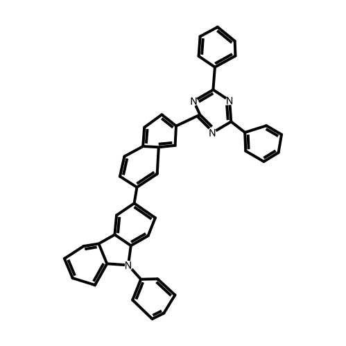 c1ccc(-c2nc(-c3ccccc3)nc(-c3ccc4ccc(-c5ccc6c(c5)c5ccccc5n6-c5ccccc5)cc4c3)n2)cc1